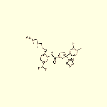 CC(=O)N1CC2(CC(Oc3ccc(C(F)F)cc3NC(=O)N3CC[C@](c4ccc(C)c(F)c4)(c4ncns4)C3)C2)C1